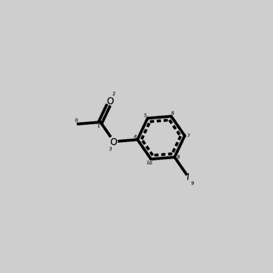 CC(=O)Oc1c[c]cc(I)c1